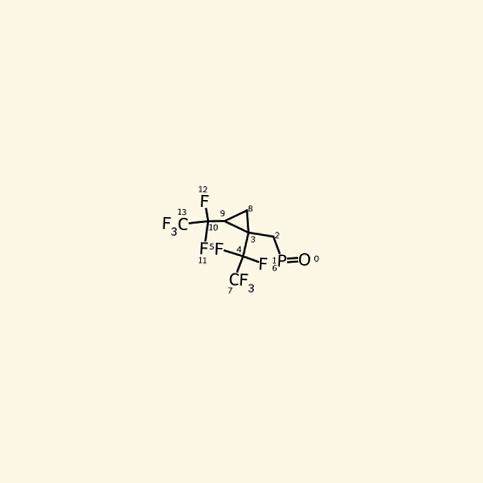 O=PCC1(C(F)(F)C(F)(F)F)CC1C(F)(F)C(F)(F)F